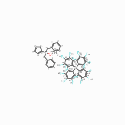 C[O][Ti]([CH2]c1ccccc1)([CH2]c1ccccc1)[C]1=CC=CC1.Fc1c(F)c(F)c([B-](c2c(F)c(F)c(F)c(F)c2F)(c2c(F)c(F)c(F)c(F)c2F)c2c(F)c(F)c(F)c(F)c2F)c(F)c1F